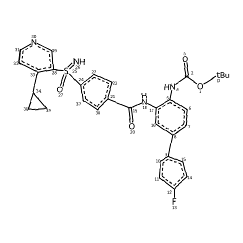 CC(C)(C)OC(=O)Nc1ccc(-c2ccc(F)cc2)cc1NC(=O)c1ccc(S(=N)(=O)c2cnccc2C2CC2)cc1